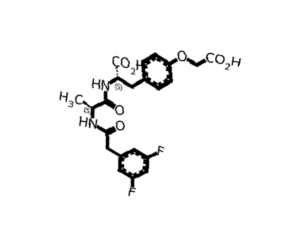 C[C@H](NC(=O)Cc1cc(F)cc(F)c1)C(=O)N[C@@H](Cc1ccc(OCC(=O)O)cc1)C(=O)O